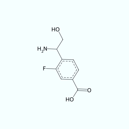 NC(CO)c1ccc(C(=O)O)cc1F